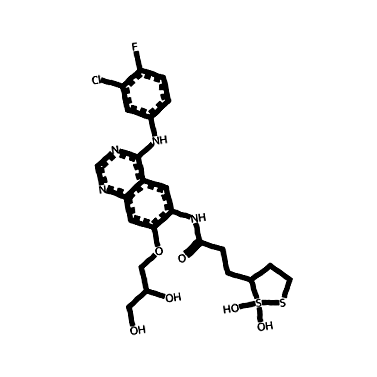 O=C(CCC1CCSS1(O)O)Nc1cc2c(Nc3ccc(F)c(Cl)c3)ncnc2cc1OCC(O)CO